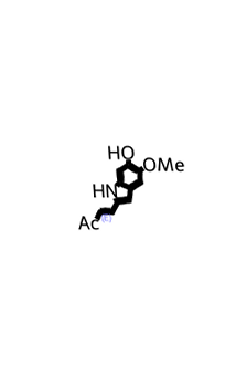 COc1cc2cc(/C=C/C(C)=O)[nH]c2cc1O